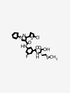 CSCC[C@H](NC(=O)c1cc(F)cc(NC(=O)c2cn(-c3ccccc3)nc2-c2ccc(Cl)s2)c1)C(=O)O